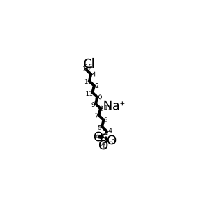 O=S(=O)([O-])CCCCCCCCCCCCCl.[Na+]